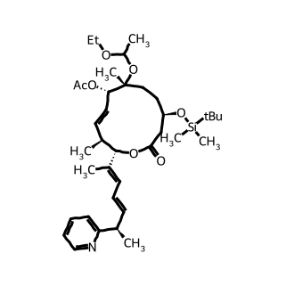 CCOC(C)O[C@]1(C)CC[C@@H](O[Si](C)(C)C(C)(C)C)CC(=O)O[C@H](/C(C)=C/C=C/[C@@H](C)c2ccccn2)[C@@H](C)/C=C/[C@@H]1OC(C)=O